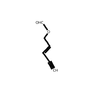 C#CC=CCO[C]=O